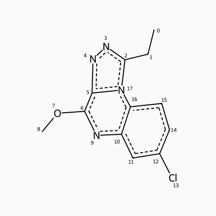 CCc1nnc2c(OC)nc3cc(Cl)ccc3n12